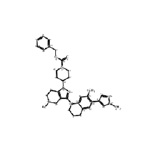 CC(=O)N1CCc2c(c(N3CCCc4cc(-c5cnn(C)c5)c(C)cc43)nn2C2CCN(C(=O)OCc3ccccc3)CC2)C1